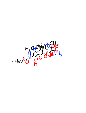 CCCCCCOC(=O)NCc1cc(N(C)C)c2c(c1O)C(=O)C1=C(O)[C@@]3(O)C(=O)C(C(N)=O)=C(O)[C@H](N(C)C)[C@H]3C[C@H]1C2